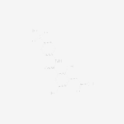 O=C(O)Cc1cc(O)cc(C(=O)Nc2ccc(S(=O)(=O)O)cc2)c1O